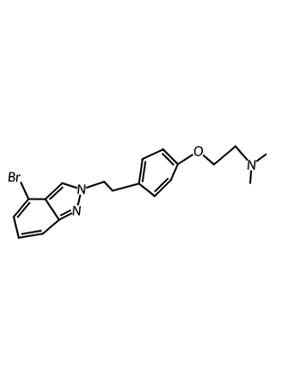 CN(C)CCOc1ccc(CCn2cc3c(Br)cccc3n2)cc1